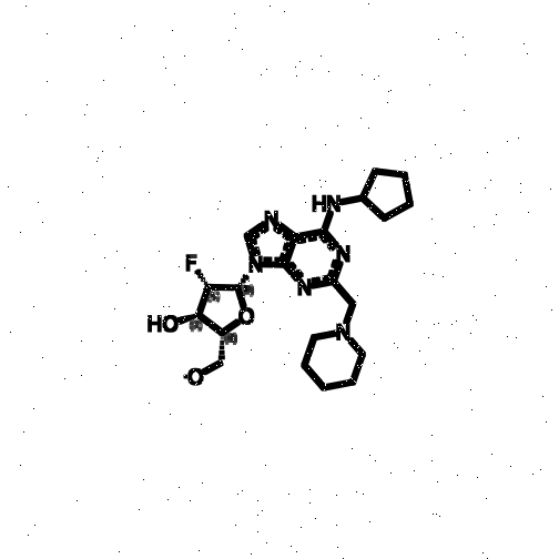 [O]C[C@H]1O[C@@H](n2cnc3c(NC4CCCC4)nc(CN4CCCCC4)nc32)[C@@H](F)[C@@H]1O